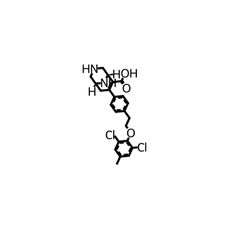 Cc1cc(Cl)c(OCCc2ccc(C3=C(C(=O)O)[C@H]4CNC[C@@H](C3)N4)cc2)c(Cl)c1